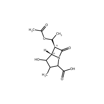 CC(=O)OC(C)[C@H]1C(=O)N2C(C(=O)O)C(C)C(O)[C@H]12